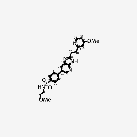 COCCNS(=O)(=O)c1ccc(-c2cnc3[nH]c(CCc4cc(OC)ccn4)nc3c2)cc1